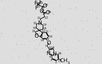 Cc1ccc2nc(COc3ccc4c(c3)OCC43CCN(CCC(=O)OC(=O)C(F)(F)F)CC3)cn2c1